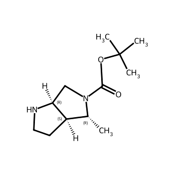 C[C@@H]1[C@H]2CCN[C@H]2CN1C(=O)OC(C)(C)C